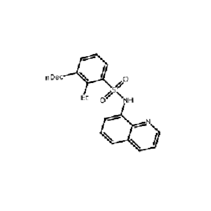 CCCCCCCCCCc1cccc(S(=O)(=O)Nc2cccc3cccnc23)c1CC